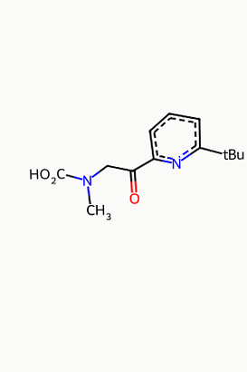 CN(CC(=O)c1cccc(C(C)(C)C)n1)C(=O)O